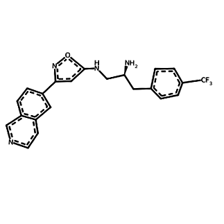 N[C@H](CNc1cc(-c2ccc3cnccc3c2)no1)Cc1ccc(C(F)(F)F)cc1